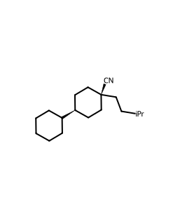 CC(C)CC[C@]1(C#N)CC[C@@H](C2CCCCC2)CC1